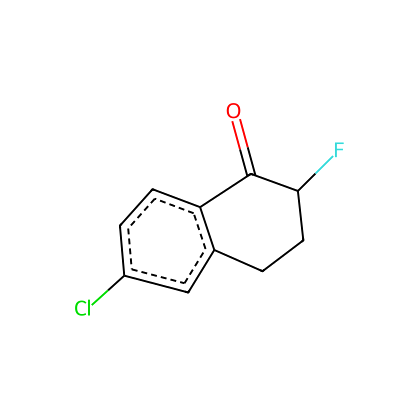 O=C1c2ccc(Cl)cc2CCC1F